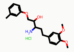 COc1ccc(CCC(N)C(O)COc2cccc(C)c2)cc1OC.Cl